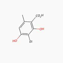 CCc1c(O)cc(C)c(C(=O)O)c1O